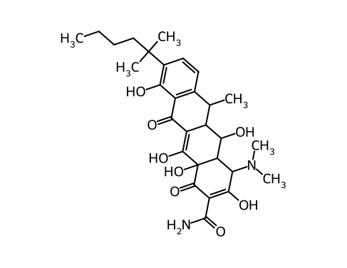 CCCCC(C)(C)c1ccc2c(c1O)C(=O)C1=C(O)C3(O)C(=O)C(C(N)=O)=C(O)C(N(C)C)C3C(O)C1C2C